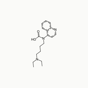 CCN(CC)CCCCN(C(=O)O)c1ccnc2ccccc12